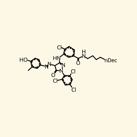 CCCCCCCCCCCCCCNC(=O)c1ccc(Cl)c(NC2=NN(c3c(Cl)cc(Cl)cc3Cl)C(=O)C2/N=N/c2ccc(O)c(C)c2)c1